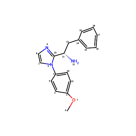 COc1ccc(-n2ccnc2[C@@H](N)Cc2ccccc2)cc1